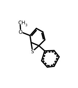 COC1=CC=CC2(c3ccccc3)SC12